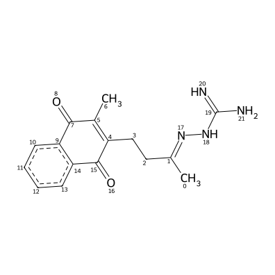 CC(CCC1=C(C)C(=O)c2ccccc2C1=O)=NNC(=N)N